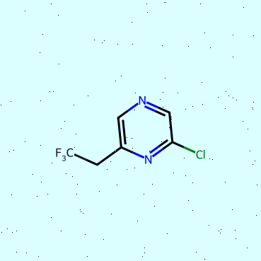 FC(F)(F)Cc1cncc(Cl)n1